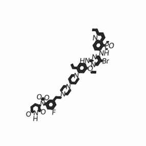 CCOc1cc(N2CCC(N3CCN(CCc4cc(F)cc5c4oc(=O)n5C4CCC(=O)NC4=O)CC3)CC2)c(CC)cc1Nc1ncc(Br)c(Nc2ccc3nc(CC)ccc3c2P(C)(C)=O)n1